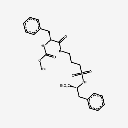 CCOC(=O)[C@H](Cc1ccccc1)NS(=O)(=O)CCCNC(=O)[C@H](Cc1ccccc1)NC(=O)OC(C)(C)C